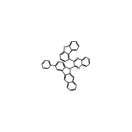 c1ccc(-c2ccc3c(c2)c2cc4ccccc4cc2n3-c2nc3ccccc3nc2-c2cccc3sc4ccccc4c23)cc1